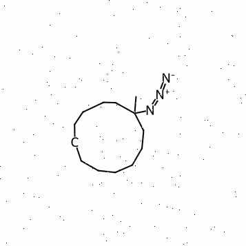 CC1(N=[N+]=[N-])CCCCCCCCCCC1